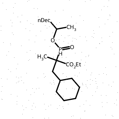 CCCCCCCCCCC(C)O[PH](=O)C(C)(CC1CCCCC1)C(=O)OCC